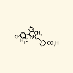 Cc1cc(Cl)ccc1C(=NOCCN1CCC[C@@H](C(=O)O)C1)c1sccc1C